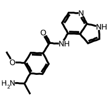 COc1cc(C(=O)Nc2ccnc3[nH]ccc23)ccc1C(C)N